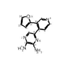 Nc1ncc(-c2ccncc2-c2ccco2)nc1N